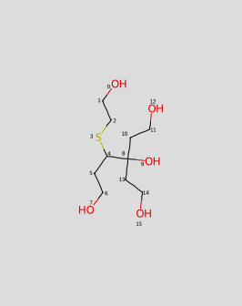 OCCSC(CCO)C(O)(CCO)CCO